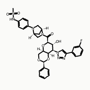 CS(=O)(=O)Nc1ccc(N2C[C@@H]3C[C@H]2CN3C(=O)[C@@H]2O[C@@H]3CO[C@H](c4ccccc4)O[C@@H]3[C@H](n3cc(-c4cccc(F)c4)nn3)[C@H]2O)cc1